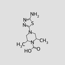 CC1CN(c2nnc(N)s2)CC(C)N1C(=O)O